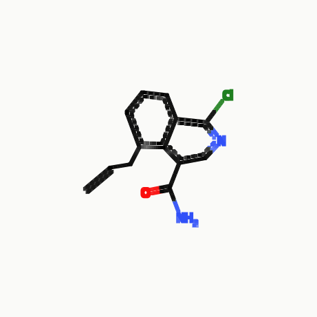 C=CCc1cccc2c(Cl)ncc(C(N)=O)c12